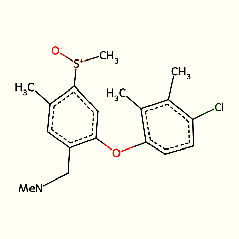 CNCc1cc(C)c([S+](C)[O-])cc1Oc1ccc(Cl)c(C)c1C